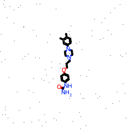 Cc1ccc(N2CCN(CCCOc3ccc(NC(N)=O)cc3)CC2)cc1C